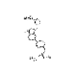 COc1cccc(CN2CNc3ccc(-c4ccc(CN(C)CCN)cc4)cc32)c1